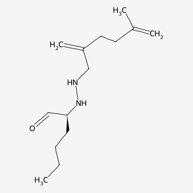 C=C(C)CCC(=C)CNN[C@H](C=O)CCCC